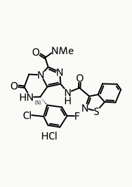 CNC(=O)c1nc(NC(=O)c2nsc3ccccc23)c2n1CC(=O)N[C@H]2c1cc(F)ccc1Cl.Cl